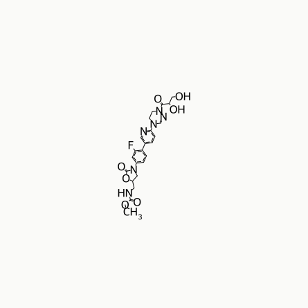 COC(=O)NCC1CN(c2ccc(-c3ccc(N4C=NN(C(=O)C(O)CO)CC4)nc3)c(F)c2)C(=O)O1